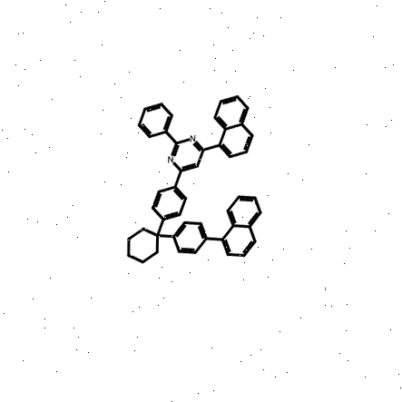 c1ccc(-c2nc(-c3ccc(C4(c5ccc(-c6cccc7ccccc67)cc5)CCCCC4)cc3)cc(-c3cccc4ccccc34)n2)cc1